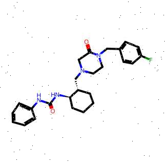 O=C(Nc1ccccc1)N[C@@H]1CCCC[C@H]1CN1CCN(Cc2ccc(F)cc2)C(=O)C1